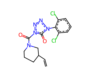 C=CC1CCCN(C(=O)n2nnn(-c3c(Cl)cccc3Cl)c2=O)C1